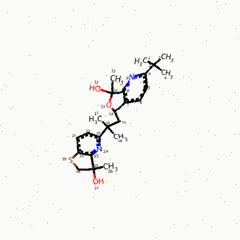 CC(C)(C)c1ccc2c(n1)C(C)(O)OC2CC(C)(C)c1ccc2c(n1)C(C)(O)CS2